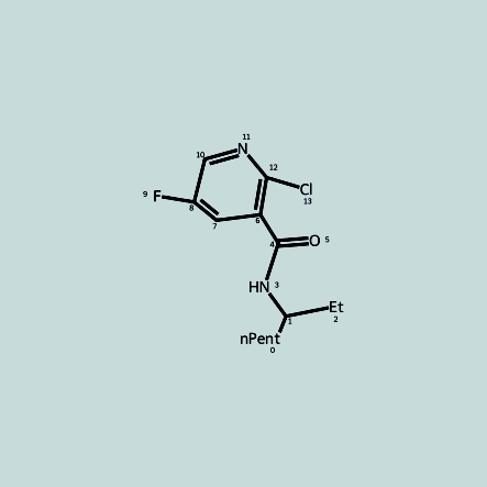 CCCCCC(CC)NC(=O)c1cc(F)cnc1Cl